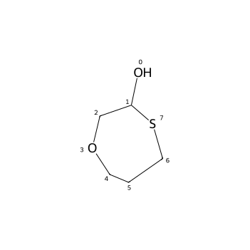 OC1COCCCS1